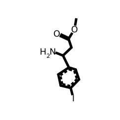 COC(=O)CC(N)c1ccc(I)cc1